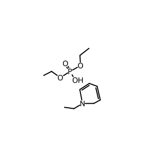 CCN1C=CC=CC1.CCOP(=O)(O)OCC